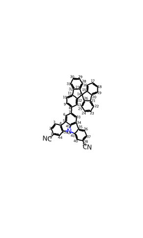 N#Cc1ccc2c3cc(-c4ccc5c(c4)C4(c6ccccc6-c6ccccc64)c4ccccc4-5)cc4c5ccc(C#N)cc5n(c2c1)c34